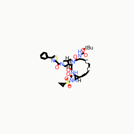 CC(C)(C)OC(=O)N[C@@H]1CCCCC/C=C\[C@@H]2C[C@@]2(C(=O)NS(=O)(=O)C2CC2)NC(=O)[C@@H]2[C@H]3CN(C(=O)c4nc(-c5ccccc5)cs4)C[C@H]3CN2C1=O